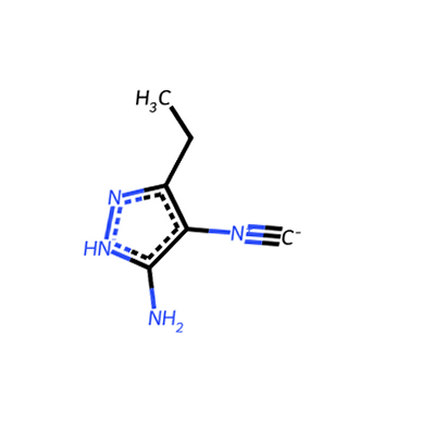 [C-]#[N+]c1c(CC)n[nH]c1N